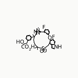 Cn1nc2nc1-c1cc(ccc1F)Oc1c(F)cc3[nH]ccc3c1CCS(=O)(=O)CC(C)(C)CCCC2(C)c1cccc(CC(O)C(=O)O)c1